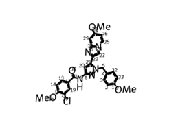 COc1ccc(Cn2nc(NC(=O)c3ccc(OC)c(Cl)c3)cc2-c2cn3ccc(OC)cc3n2)cc1